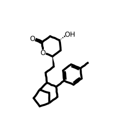 Cc1ccc(C2CC3CCC(C3)C2CC[C@@H]2C[C@@H](O)CC(=O)O2)cc1